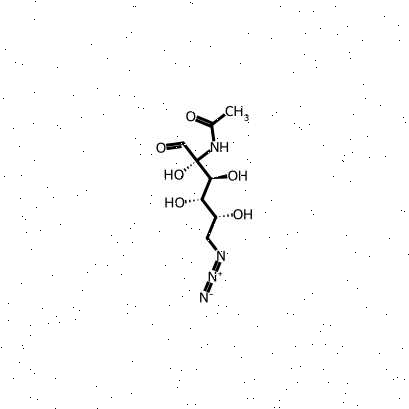 CC(=O)N[C@](O)(C=O)[C@@H](O)[C@@H](O)[C@H](O)CN=[N+]=[N-]